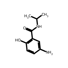 CC(C)NC(=O)c1cc(N)ccc1O